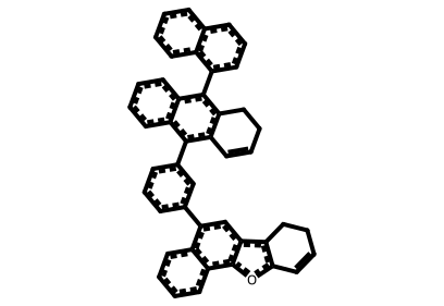 C1=Cc2c(c(-c3cccc4ccccc34)c3ccccc3c2-c2cccc(-c3cc4c5c(oc4c4ccccc34)C=CCC5)c2)CC1